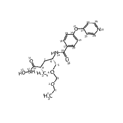 CCOCOC[C@H](C[C@H](C)C(=O)NO)NC(=O)c1ccc(Oc2ccncc2)cc1